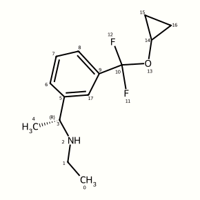 CCN[C@H](C)c1cccc(C(F)(F)OC2CC2)c1